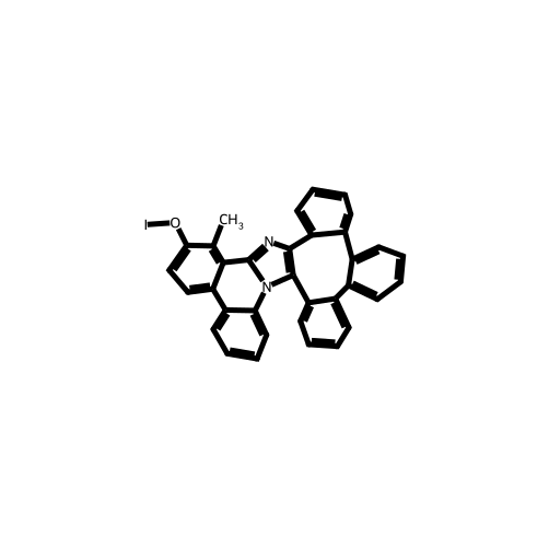 Cc1c(OI)ccc2c3ccccc3n3c4c(nc3c12)-c1ccccc1-c1ccccc1-c1ccccc1-4